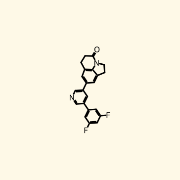 O=C1CCc2cc(-c3cncc(-c4cc(F)cc(F)c4)c3)cc3c2N1CC3